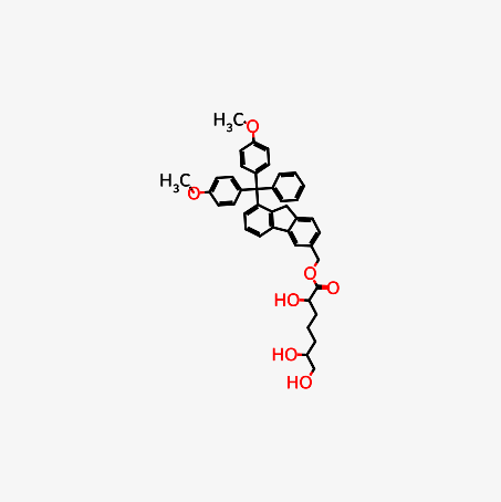 COc1ccc(C(c2ccccc2)(c2ccc(OC)cc2)c2cccc3c2Cc2ccc(COC(=O)C(O)CCCC(O)CO)cc2-3)cc1